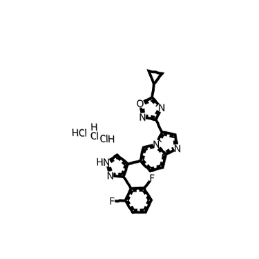 Cl.Cl.Cl.Fc1cccc(F)c1-c1n[nH]cc1-c1ccc2ncc(-c3noc(C4CC4)n3)n2c1